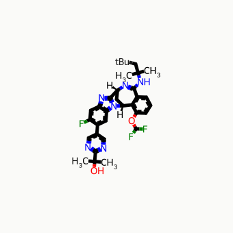 CC(C)(C)CC(C)(C)NC1=N[C@@H]2C[C@H](c3c(OC(F)F)cccc31)n1c2nc2cc(F)c(-c3cnc(C(C)(C)O)nc3)cc21